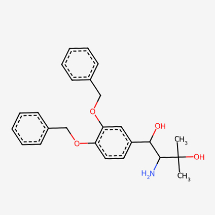 CC(C)(O)C(N)C(O)c1ccc(OCc2ccccc2)c(OCc2ccccc2)c1